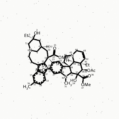 CC[C@]1(O)C[C@@H]2CN(CCc3c([nH]c4ccc(C)cc34)[C@@](C(=O)OC)(c3cc4c(cc3OC)N(C)C3C(O)(C(=O)OC)[C@H](OC(C)=O)[C@]5(CC)C=CCN6CC[C@]43[C@@H]65)C2)C1